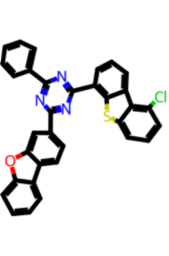 Clc1cccc2sc3c(-c4nc(-c5ccccc5)nc(-c5ccc6c(c5)oc5ccccc56)n4)cccc3c12